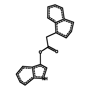 O=C(Cc1cccc2ccccc12)Oc1c[nH]c2ccccc12